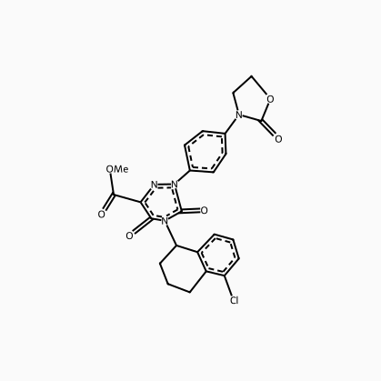 COC(=O)c1nn(-c2ccc(N3CCOC3=O)cc2)c(=O)n(C2CCCc3c(Cl)cccc32)c1=O